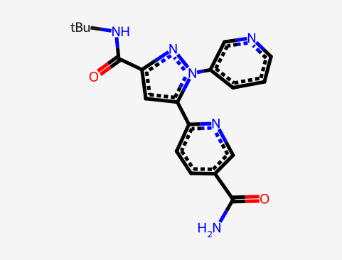 CC(C)(C)NC(=O)c1cc(-c2ccc(C(N)=O)cn2)n(-c2cccnc2)n1